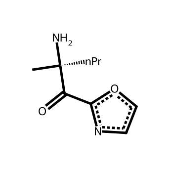 CCC[C@](C)(N)C(=O)c1ncco1